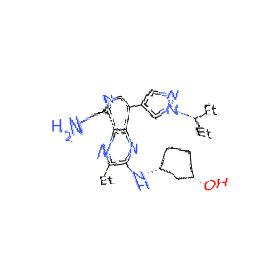 CCc1nc2c(N)ncc(-c3cnn(C(CC)CC)c3)c2nc1N[C@@H]1CC[C@H](O)C1